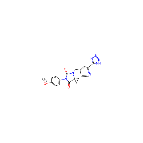 O=C1N(c2ccc(OC(F)(F)F)cc2)C(=O)C2(CC2)N1Cc1ccnc(-c2nnn[nH]2)c1